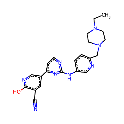 CCN1CCN(Cc2ccc(Nc3nccc(-c4cnc(O)c(C#N)c4)n3)cn2)CC1